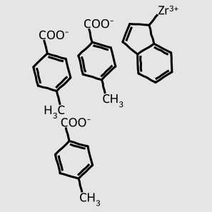 Cc1ccc(C(=O)[O-])cc1.Cc1ccc(C(=O)[O-])cc1.Cc1ccc(C(=O)[O-])cc1.[Zr+3][CH]1C=Cc2ccccc21